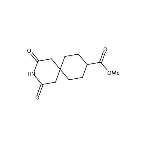 COC(=O)C1CCC2(CC1)CC(=O)NC(=O)C2